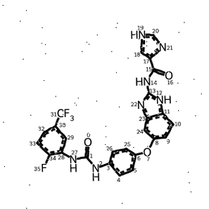 O=C(Nc1ccc(Oc2ccc3[nH]c(NC(=O)c4c[nH]cn4)nc3c2)cc1)Nc1cc(C(F)(F)F)ccc1F